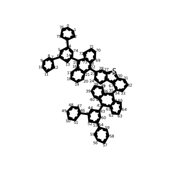 c1ccc(-c2cc(-c3ccccc3)cc(-c3c4ccccc4c(-c4ccc5c(c4)sc4cccc(-c6c7ccccc7c(-c7cc(-c8ccccc8)cc(-c8ccccc8)c7)c7ccccc67)c45)c4ccccc34)c2)cc1